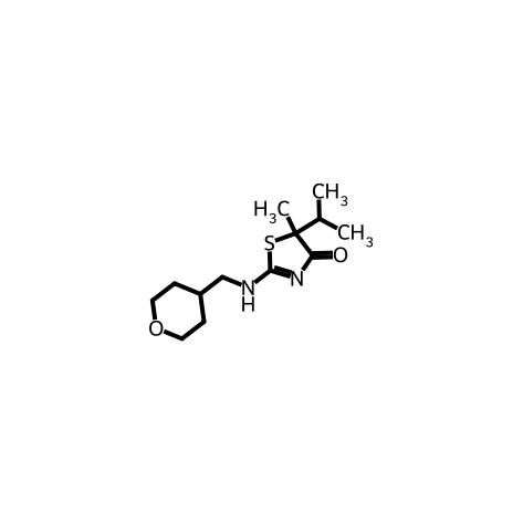 CC(C)C1(C)SC(NCC2CCOCC2)=NC1=O